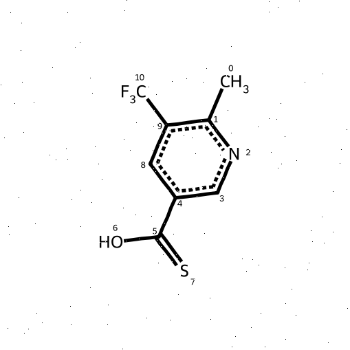 Cc1ncc(C(O)=S)cc1C(F)(F)F